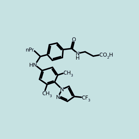 CCCC(Nc1cc(C)c(-n2cc(C(F)(F)F)cn2)c(C)c1)c1ccc(C(=O)NCCC(=O)O)cc1